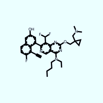 C#Cc1c(F)ccc2cc(O)cc(-c3ncc4c(N(CC)CCCC)nc(OCC5(CN(C)C)CC5)nc4c3C(F)F)c12